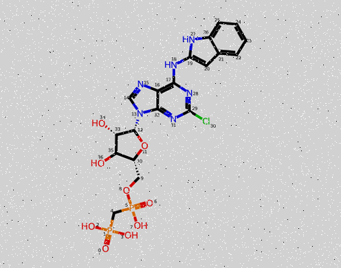 O=P(O)(O)CP(=O)(O)OC[C@H]1O[C@@H](n2cnc3c(Nc4cc5ccccc5[nH]4)nc(Cl)nc32)[C@@H](O)C1O